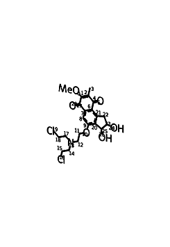 COC1=C(C)C(=O)c2c(cc(OCCN(CCCl)CCCl)c3c2CC(O)C3O)C1=O